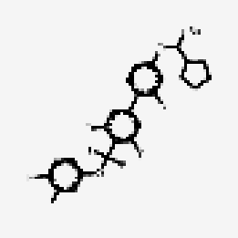 CCCCC(Oc1ccc(-c2cc(F)c(C(F)(F)Oc3ccc(F)c(F)c3)c(F)c2)c(F)c1)C1CCCC1